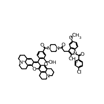 COc1ccc2c(c1)c(CC(=O)N1CCN(C(=O)c3ccc(C4=c5cc6c7c(c5Oc5c4cc4c8c5CCCN8CCC4)CCC[N+]=7CCC6)c(C(=O)O)c3)CC1)c(C)n2C(=O)c1ccc(Cl)cc1